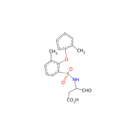 Cc1ccccc1Oc1c(C)cccc1S(=O)(=O)NC(C=O)CC(=O)O